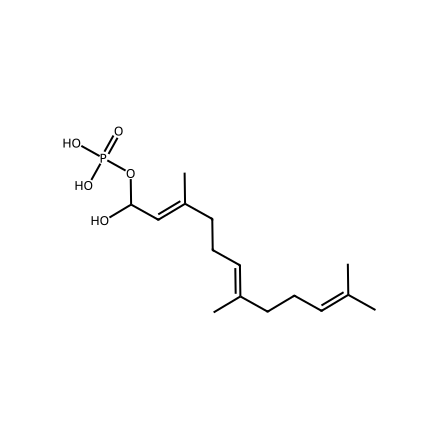 CC(C)=CCCC(C)=CCCC(C)=CC(O)OP(=O)(O)O